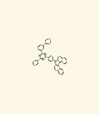 c1ccc(-c2cccc(-c3nc(-c4ccccc4)nc(-c4ccc(-n5c6ccc7ccccc7c6c6c7ccccc7ccc65)cc4)n3)c2)cc1